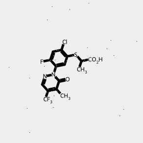 Cc1c(C(F)(F)F)cnn(-c2cc(SC(C)C(=O)O)c(Cl)cc2F)c1=O